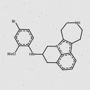 COc1cc(Br)ccc1NC1Cc2cccc3c4c(n(c23)C1)CCNCC4